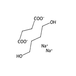 O=C([O-])CCC(=O)[O-].OCCCCO.[Na+].[Na+]